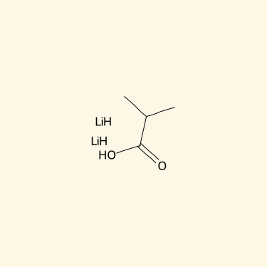 CC(C)C(=O)O.[LiH].[LiH]